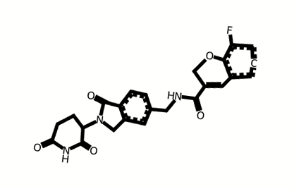 O=C1CCC(N2Cc3cc(CNC(=O)C4=Cc5cccc(F)c5OC4)ccc3C2=O)C(=O)N1